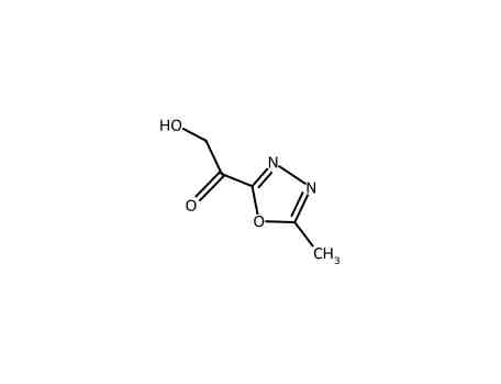 Cc1nnc(C(=O)CO)o1